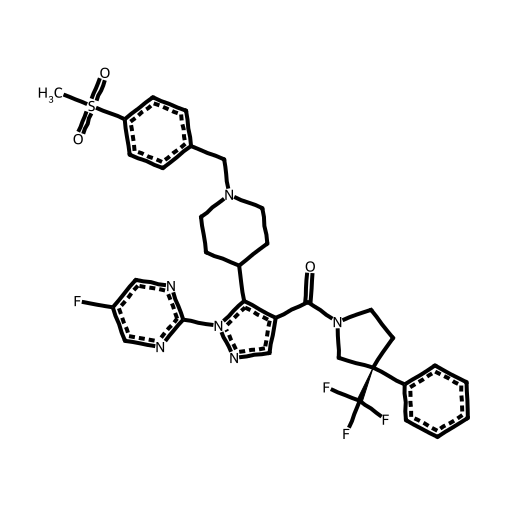 CS(=O)(=O)c1ccc(CN2CCC(c3c(C(=O)N4CC[C@@](c5ccccc5)(C(F)(F)F)C4)cnn3-c3ncc(F)cn3)CC2)cc1